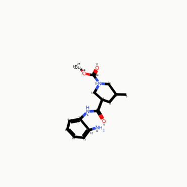 CC1CC(C(=O)Nc2ccccc2N)CN(C(=O)OC(C)(C)C)C1